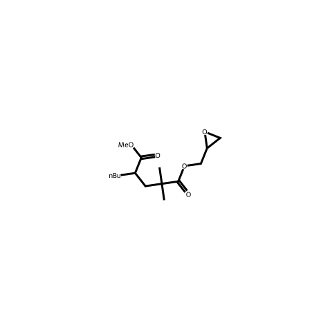 CCCCC(CC(C)(C)C(=O)OCC1CO1)C(=O)OC